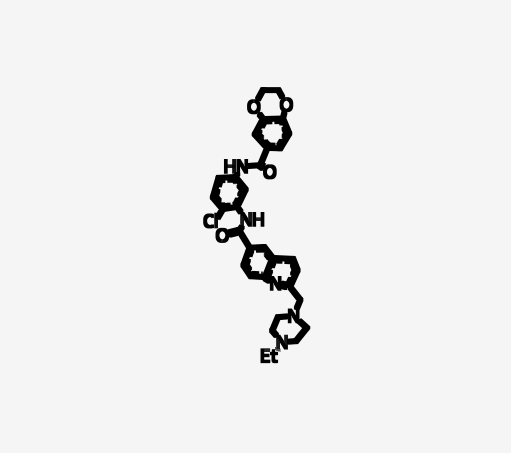 CCN1CCN(Cc2ccc3cc(C(=O)Nc4cc(NC(=O)c5ccc6c(c5)OCCO6)ccc4Cl)ccc3n2)CC1